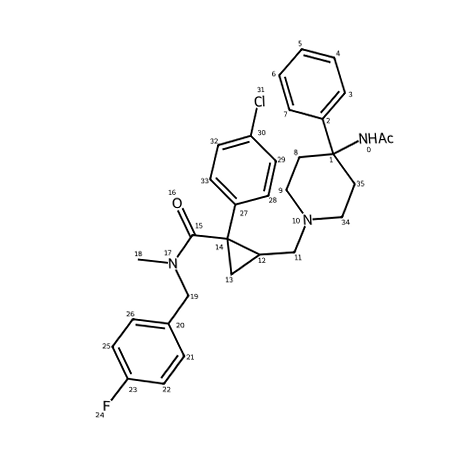 CC(=O)NC1(c2ccccc2)CCN(CC2CC2(C(=O)N(C)Cc2ccc(F)cc2)c2ccc(Cl)cc2)CC1